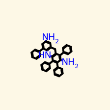 Nc1cc2c(c(-c3ccccc3)c1)Nc1c(c(-c3ccccc3)c(N)c(-c3ccccc3)c1-c1ccccc1)C2